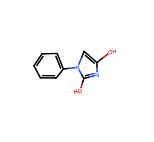 Oc1cn(-c2ccccc2)c(O)n1